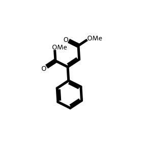 COC(=O)C=C(C(=O)OC)c1ccccc1